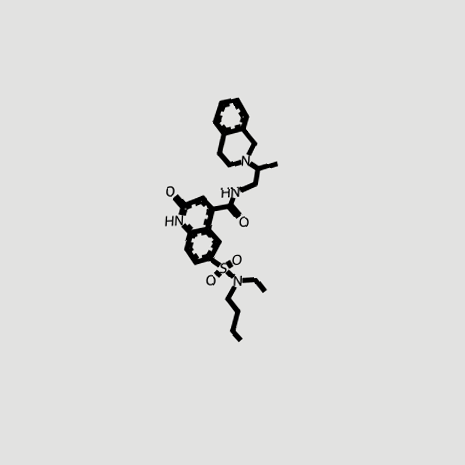 CCCCN(CC)S(=O)(=O)c1ccc2[nH]c(=O)cc(C(=O)NCC(C)N3CCc4ccccc4C3)c2c1